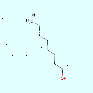 CCCCCCCCO.[LiH]